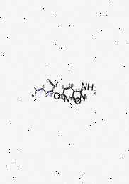 C=C/C(=C\C=C/C)Oc1ccc2c(N)noc2n1